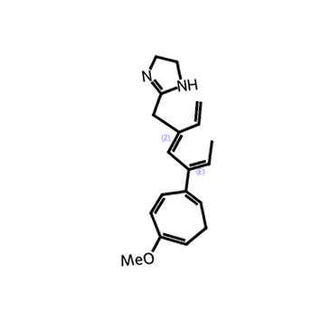 C=C/C(=C\C(=C/C)C1=CCC=C(OC)C=C1)CC1=NCCN1